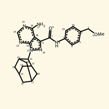 COCc1ccc(NC(=O)c2nn(C3C4CC5CC(C4)CC3C5)c3ncnc(N)c23)cc1